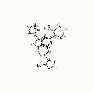 CC1COCC1N1CCc2nn(-c3cc[nH]n3)c3nc(N4CCOC[C@H]4C)cc(c23)C1